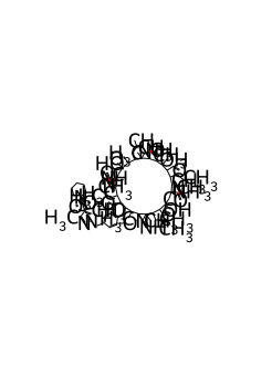 Cc1nn(Cc2ccc(CC3(O)C(C)C(C=O)C(C)(N=N)C(CC(C)C)C(C=O)C(O)CC(C=O)C(C)(N=N)C(CC(C)C)C(C=O)C(O)C(C)C(C=O)C(C)(N=N)C(CC(C)C)C(C=O)C(O)CC(C=O)C(C)(N=N)C(CC(C)C)C3C=O)cc2)c(C)c1S(=O)(=O)N1CCCCC1